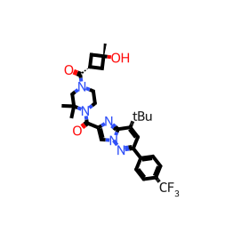 CC(C)(C)c1cc(-c2ccc(C(F)(F)F)cc2)nn2cc(C(=O)N3CCN(C(=O)[C@H]4C[C@@](C)(O)C4)CC3(C)C)nc12